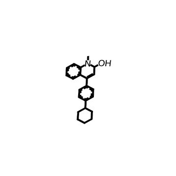 CN1c2ccccc2C(c2ccc(C3CCCCC3)cc2)=CC1O